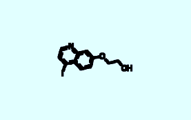 OCCOc1ccc2c(I)ccnc2c1